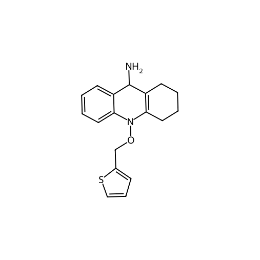 NC1C2=C(CCCC2)N(OCc2cccs2)c2ccccc21